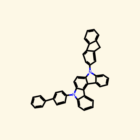 c1ccc(-c2ccc(-n3c4ccccc4c4c5c6ccccc6n(-c6ccc7c(c6)Cc6ccccc6-7)c5ccc43)cc2)cc1